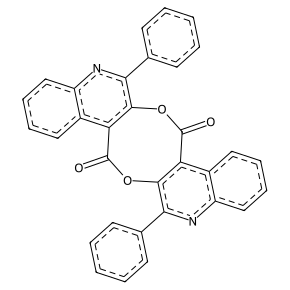 O=C1Oc2c(-c3ccccc3)nc3ccccc3c2C(=O)Oc2c(-c3ccccc3)nc3ccccc3c21